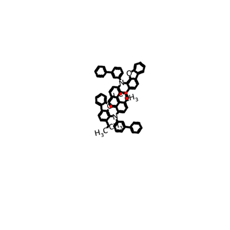 CC(C)c1ccc2c(oc3ccccc32)c1N(c1cccc(-c2ccccc2)c1)c1ccc2ccc3c(N(c4cccc(-c5ccccc5)c4)c4c(C(C)C)ccc5c4oc4ccccc45)ccc4ccc1c2c43